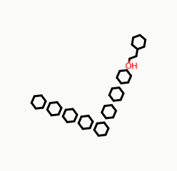 C1CCCCC1.C1CCCCC1.C1CCCCC1.C1CCCCC1.C1CCCCC1.C1CCCCC1.C1CCCCC1.C1CCCCC1.OCCC1CCCCC1